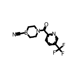 N#CB1CCN(C(=O)c2ccc(C(F)(F)F)cn2)CC1